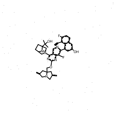 C#Cc1c(F)ccc2cc(O)cc(-c3ncc4c(N5CC6CCC(C(C)(C)O)(C5)N6)nc(OCC56CC(=C)CN5CC(=C)C6)nc4c3F)c12